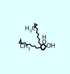 CC1(CCCCCCc2ccc(O)c(O)c2CCCCCCC2(C)CC2)CC1